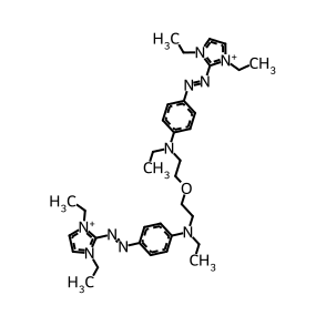 CCN(CCOCCN(CC)c1ccc(N=Nc2n(CC)cc[n+]2CC)cc1)c1ccc(N=Nc2n(CC)cc[n+]2CC)cc1